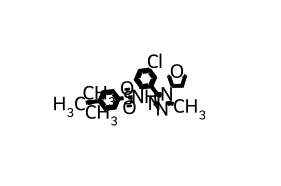 Cc1nnc(-c2cc(Cl)ccc2NS(=O)(=O)c2ccc(C(C)(C)C)cc2)n1C1CCOC1